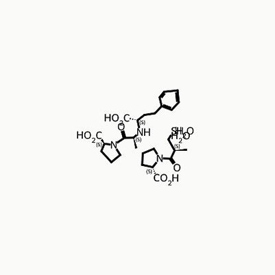 C[C@H](CS)C(=O)N1CCC[C@H]1C(=O)O.C[C@H](N[C@@H](CCc1ccccc1)C(=O)O)C(=O)N1CCC[C@H]1C(=O)O.O.O